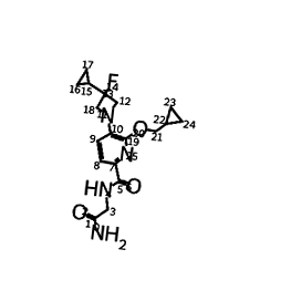 NC(=O)CNC(=O)c1ccc(N2CC(F)(C3CC3)C2)c(OCC2CC2)n1